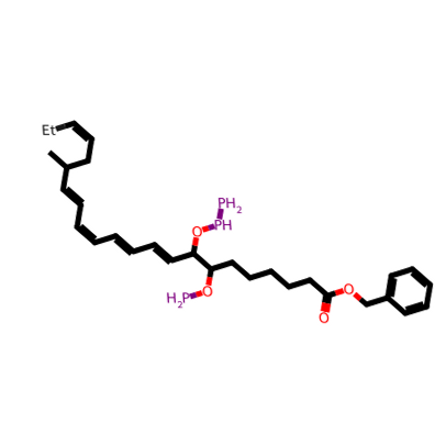 CC/C=C\CC(C)/C=C/C=C\C=C\C=C\C(OPP)C(CCCCCC(=O)OCc1ccccc1)OP